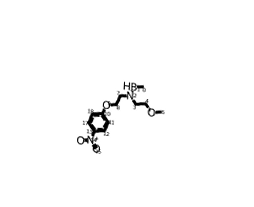 CBN(CCOC)CCOc1ccc([N+](=O)[O-])cc1